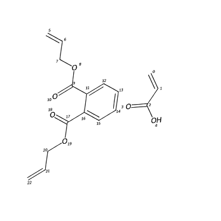 C=CC(=O)O.C=CCOC(=O)c1ccccc1C(=O)OCC=C